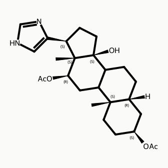 CC(=O)O[C@H]1CC[C@]2(C)C3C[C@@H](OC(C)=O)[C@]4(C)[C@@H](c5c[nH]cn5)CC[C@]4(O)C3CC[C@@H]2C1